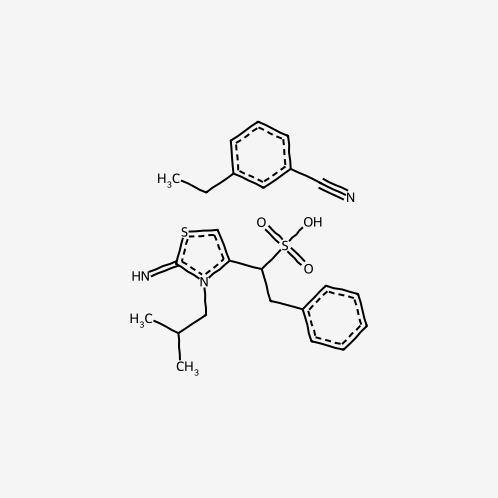 CC(C)Cn1c(C(Cc2ccccc2)S(=O)(=O)O)csc1=N.CCc1cccc(C#N)c1